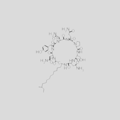 CCC(C)CCCCCCCCCCC1CC(=O)NC(CC(N)=O)C(=O)NC(Cc2ccc(O)cc2)C(=O)NC(CC(N)=O)C(=O)NC(CCC(N)=O)C(=O)N2CCCC2C(=O)NC(CO)C(=O)NC(CC(N)=O)C(=O)N1